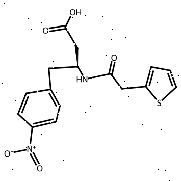 O=C(O)C[C@H](Cc1ccc([N+](=O)[O-])cc1)NC(=O)Cc1cccs1